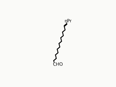 CCCC=CCCCCCCCCCCCCC=O